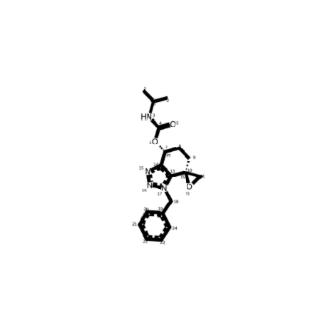 CC(C)NC(=O)O[C@@H]1CC[C@@]2(CO2)c2c1nnn2Cc1ccccc1